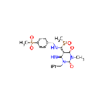 CC(C)CN1C(=N)/C(=C(\NCc2ccc(S(C)(=O)=O)cc2)[S+](C)[O-])C(=O)N(C)C1=O